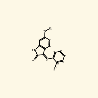 CCOc1ccc2c(c1)NC(=O)/C2=C/c1ccccc1CC